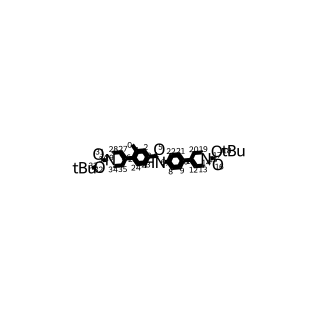 Cc1cc(C(=O)Nc2ccc(C3=CCN(C(=O)OC(C)(C)C)CC3)cc2)ccc1C1=CCN(C(=O)OC(C)(C)C)CC1